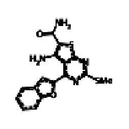 CSc1nc(-c2cc3ccccc3o2)c2c(N)c(C(N)=O)sc2n1